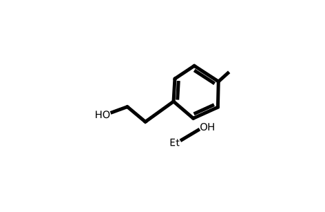 CCO.Cc1ccc(CCO)cc1